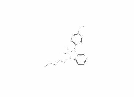 CNCCCN1c2ccccc2N(c2ccc(OC)cc2)S1(O)O